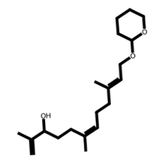 C=C(C)C(O)CC/C(C)=C\CC/C(C)=C/COC1CCCCO1